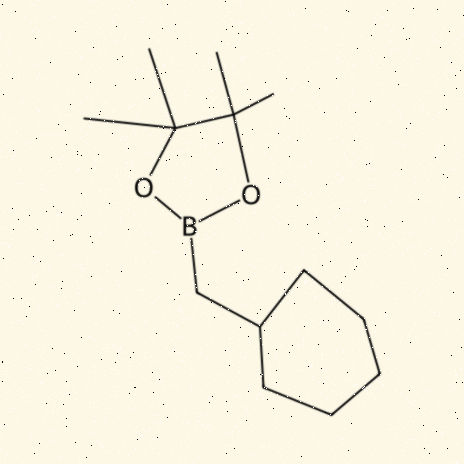 CC1(C)OB(CC2CCCCC2)OC1(C)C